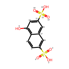 O=S(=O)(O)c1ccc2c(O)cc(S(=O)(=O)O)cc2c1